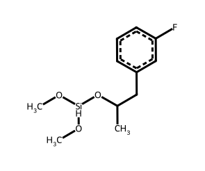 CO[SiH](OC)OC(C)Cc1cccc(F)c1